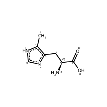 Cc1[nH]cnc1C[C@H](N)C(=O)O